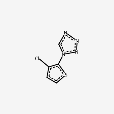 Clc1ccsc1-n1cnnn1